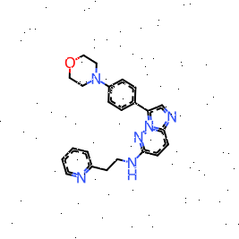 c1ccc(CCNc2ccc3ncc(-c4ccc(N5CCOCC5)cc4)n3n2)nc1